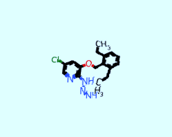 CCc1cccc(CC)c1COc1cc(Cl)cnc1NN=N